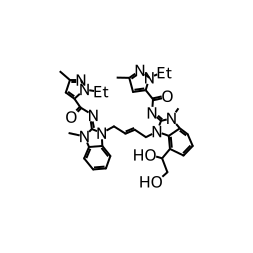 CCn1nc(C)cc1C(=O)/N=c1\n(C)c2ccccc2n1C/C=C/Cn1/c(=N/C(=O)c2cc(C)nn2CC)n(C)c2cccc(C(O)CO)c21